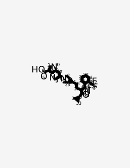 Cn1cc(C(=O)O)c2ncc(N3CC4C(C=Cc5c(-c6ccccc6C(F)(F)F)noc5C5CC5)C4C3)cc21